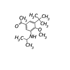 COc1c(NC(C)C)cc(C(C)=O)cc1C(C)(C)C